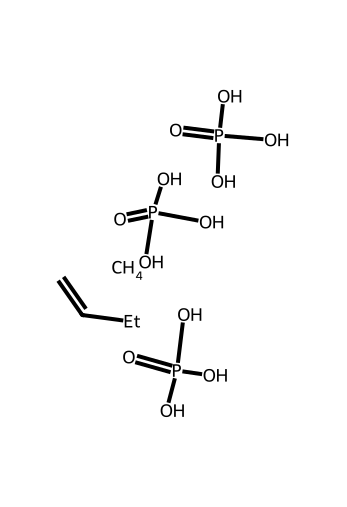 C.C=CCC.O=P(O)(O)O.O=P(O)(O)O.O=P(O)(O)O